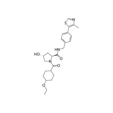 CCOC1CCC(C(=O)N2C[C@H](O)C[C@H]2C(=O)NCc2ccc(-c3scnc3C)cc2)CC1